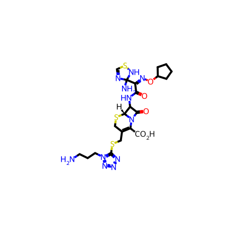 NCCCn1nnnc1SCC1=C(C(=O)O)N2C(=O)C(NC(=O)/C(=N\OC3CCCC3)C3(N)N=CSN3)[C@H]2SC1